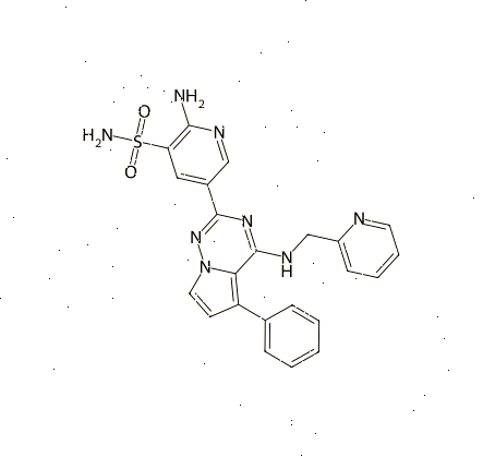 Nc1ncc(-c2nc(NCc3ccccn3)c3c(-c4ccccc4)ccn3n2)cc1S(N)(=O)=O